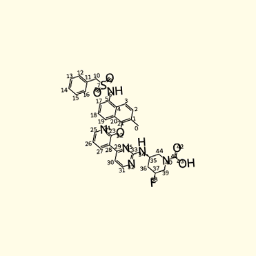 Cc1ccc2c(NS(=O)(=O)Cc3ccccc3)cccc2c1Oc1ncccc1-c1ccnc(N[C@@H]2C[C@H](F)CN(C(=O)O)C2)n1